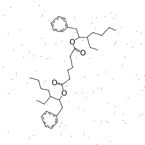 CCCCC(CC)C(Cc1ccccc1)OC(=O)CCCCC(=O)OC(Cc1ccccc1)C(CC)CCCC